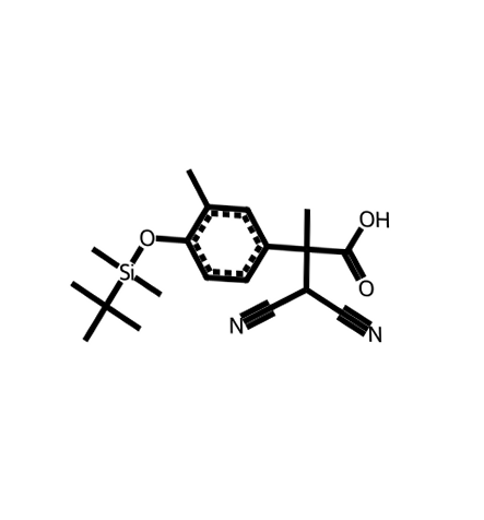 Cc1cc(C(C)(C(=O)O)C(C#N)C#N)ccc1O[Si](C)(C)C(C)(C)C